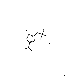 CC(C)c1cc(CC(C)(F)F)no1